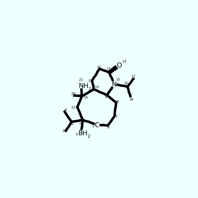 BC1(C(C)C)CCCCC2C(CCC(=O)N2C(C)C)C(C)(N)C1